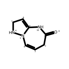 O=C1CC=CN2NCC=C2N1